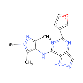 Cc1nn(C(C)C)c(C)c1Nc1nc(-c2ccoc2)nc2cn[nH]c12